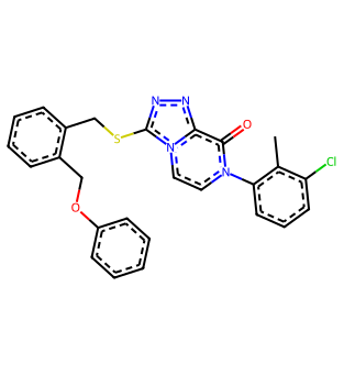 Cc1c(Cl)cccc1-n1ccn2c(SCc3ccccc3COc3ccccc3)nnc2c1=O